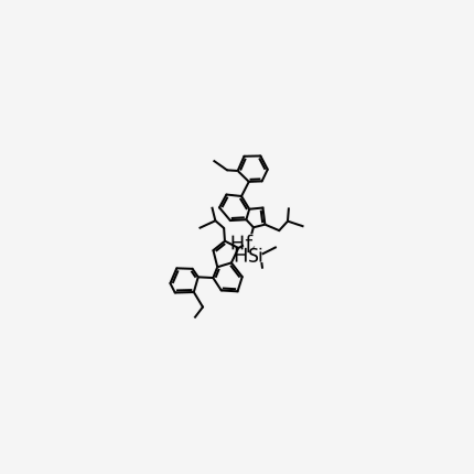 CCc1ccccc1-c1cccc2c1C=C(CC(C)C)[CH]2[Hf]([CH]1C(CC(C)C)=Cc2c(-c3ccccc3CC)cccc21)[SiH](C)C